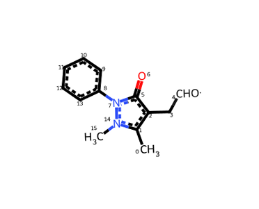 Cc1c(C[C]=O)c(=O)n(-c2ccccc2)n1C